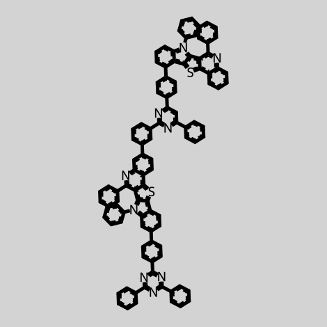 c1ccc(-c2cc(-c3ccc(-c4cccc5c4c4sc6c7ccccc7nc(-c7ccccc7)c6c4n5-c4ccccc4)cc3)nc(-c3cccc(-c4ccc5c(c4)nc(-c4ccccc4)c4c5sc5c6ccc(-c7ccc(-c8nc(-c9ccccc9)nc(-c9ccccc9)n8)cc7)cc6n(-c6ccccc6)c54)c3)n2)cc1